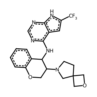 FC(F)(F)c1cc2c(NC3c4ccccc4OCC3N3CCC4(COC4)C3)ncnc2[nH]1